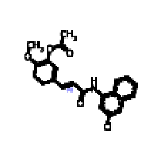 COC1=C(OC(C)=O)C=C(/C=C/C(=O)Nc2cc(Cl)cc3ccccc23)CC1